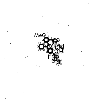 COc1ccc2c(c1)C1CC1(C(=O)N1CCN3CCC[C@@H]3C1)Cn1c-2c(C2CCCCC2)c2ccc(C(=O)NS(=O)(=O)N3CCC3)cc21